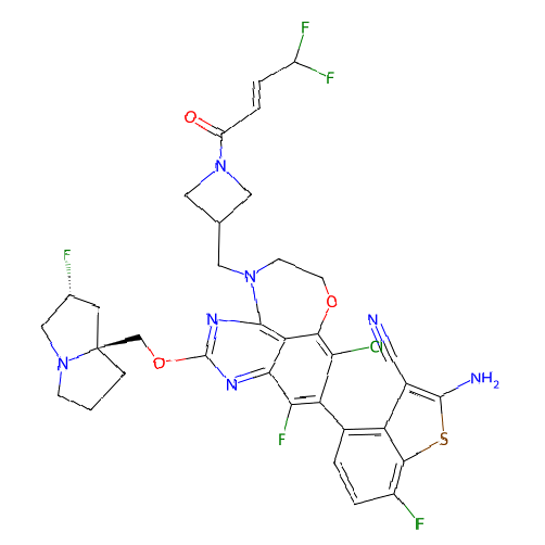 N#Cc1c(N)sc2c(F)ccc(-c3c(Cl)c4c5c(nc(OC[C@@]67CCCN6C[C@H](F)C7)nc5c3F)N(CC3CN(C(=O)/C=C/C(F)F)C3)CCO4)c12